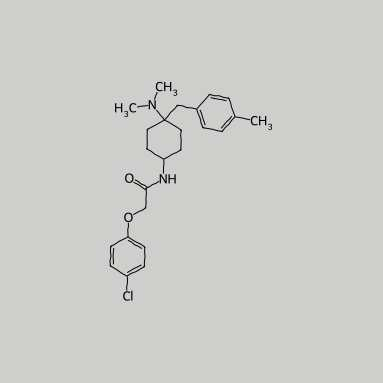 Cc1ccc(CC2(N(C)C)CCC(NC(=O)COc3ccc(Cl)cc3)CC2)cc1